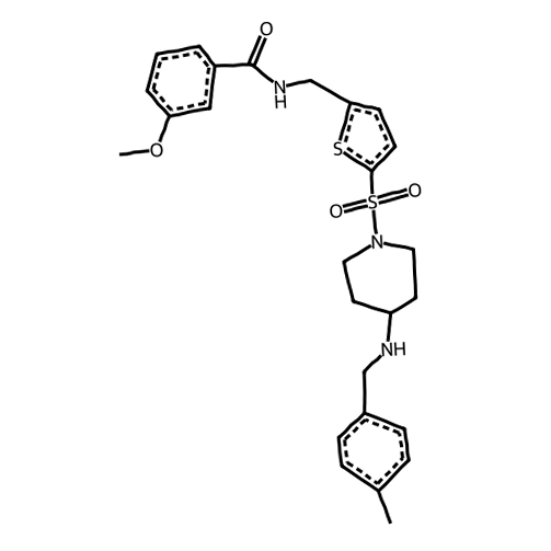 COc1cccc(C(=O)NCc2ccc(S(=O)(=O)N3CCC(NCc4ccc(C)cc4)CC3)s2)c1